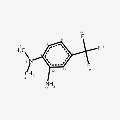 CN(C)c1ccc(C(F)(F)F)cc1N